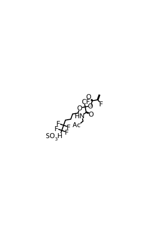 C=C(F)C(=O)OC(OCCCCC(F)(F)C(F)(F)S(=O)(=O)O)(C(=O)NCC(C)=O)C(F)(F)F